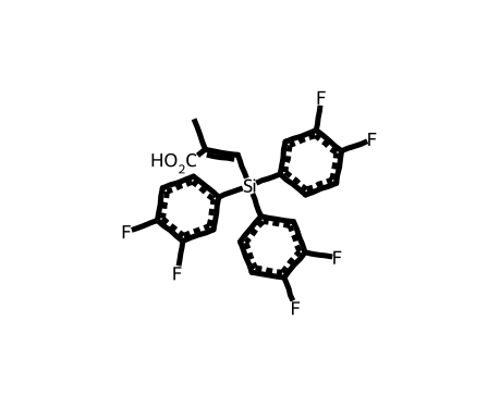 CC(=C[Si](c1ccc(F)c(F)c1)(c1ccc(F)c(F)c1)c1ccc(F)c(F)c1)C(=O)O